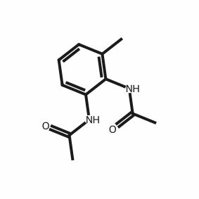 CC(=O)Nc1cccc(C)c1NC(C)=O